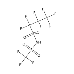 O=S(=O)(NS(=O)(=O)C(F)(F)C(F)(F)C(F)(F)F)C(F)(F)F